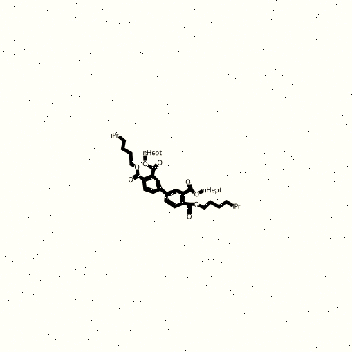 CCCCCCCOC(=O)c1cc(-c2ccc(C(=O)OCCCCC(C)C)c(C(=O)OCCCCCCC)c2)ccc1C(=O)OCCCCC(C)C